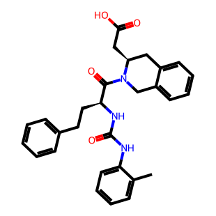 Cc1ccccc1NC(=O)N[C@@H](CCc1ccccc1)C(=O)N1Cc2ccccc2C[C@@H]1CC(=O)O